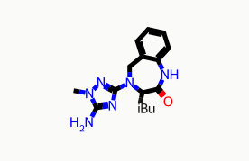 CCC(C)C1C(=O)Nc2ccccc2CN1c1nc(N)n(C)n1